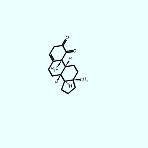 C[C@@]12CCC[C@H]1[C@@H]1CCC3=CCC(=O)C(=O)[C@]3(C)[C@@H]1CC2